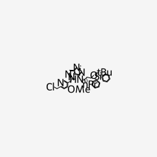 CCC[C@@H](CCO[Si](c1ccccc1)(c1ccccc1)C(C)(C)C)Nc1n[c]nc2cnn(Cc3cnc(CCl)cc3OC)c12